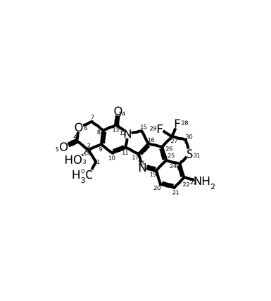 CC[C@@]1(O)C(=O)OCc2c1cc1n(c2=O)Cc2c-1nc1ccc(N)c3c1c2C(F)(F)CS3